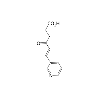 O=C(O)CCC(=O)/C=C/c1cccnc1